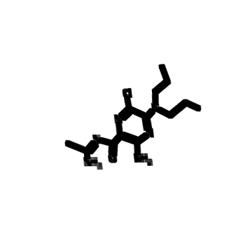 CCCN(CCC)c1nc(N)c(C(=O)N=C(C)N)nc1Cl